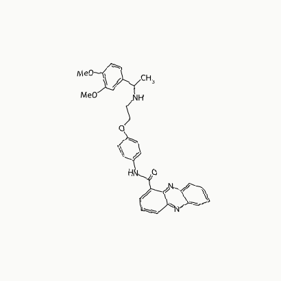 COc1ccc(C(C)NCCOc2ccc(NC(=O)c3cccc4nc5ccccc5nc34)cc2)cc1OC